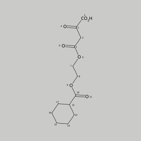 O=C(CC(=O)C(=O)O)OCCOC(=O)C1CCCCC1